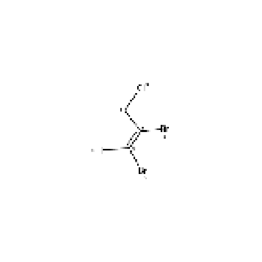 ClCC(Br)=C(Br)I